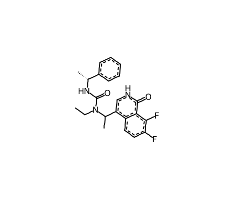 CCN(C(=O)N[C@H](C)c1ccccc1)C(C)c1c[nH]c(=O)c2c(F)c(F)ccc12